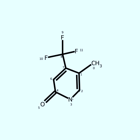 CC1=[C][N]C(=O)C=C1C(F)(F)F